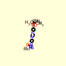 CCC(C)n1ncn(-c2ccc(N3CCN(c4ccc(B5OC(C)(C)C(C)(C)O5)cc4)CC3)cc2)c1=O